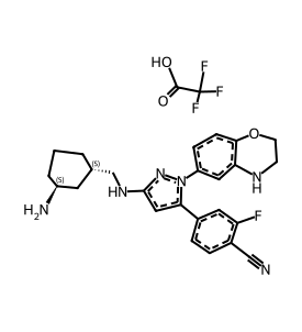 N#Cc1ccc(-c2cc(NC[C@H]3CCC[C@H](N)C3)nn2-c2ccc3c(c2)NCCO3)cc1F.O=C(O)C(F)(F)F